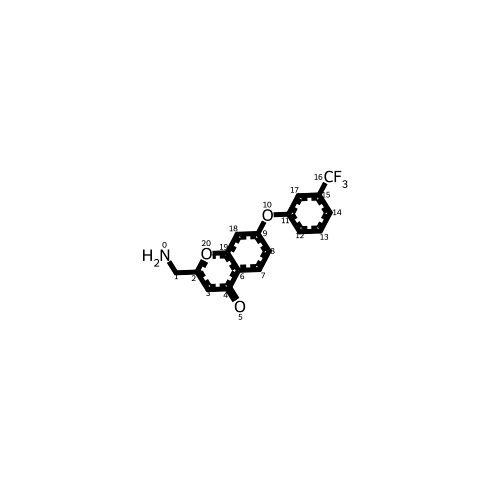 NCc1cc(=O)c2ccc(Oc3cccc(C(F)(F)F)c3)cc2o1